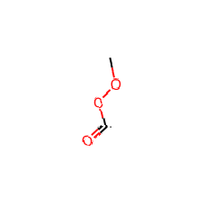 COO[C]=O